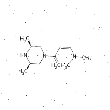 C=C(/C=C\N(C)C)N1C[C@@H](C)N[C@@H](C)C1